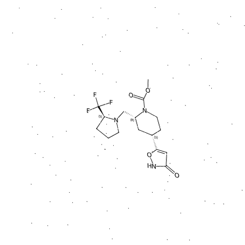 COC(=O)N1CC[C@H](c2cc(=O)[nH]o2)C[C@@H]1CN1CCC[C@H]1C(F)(F)F